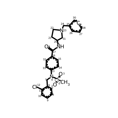 CS(=O)(=O)N(Cc1ccccc1Cl)c1ccc(C(=O)NC2CCN(Cc3ccccc3)C2)cc1